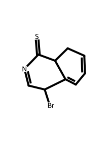 S=C1N=CC(Br)C2=CC=CCC12